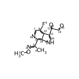 CO/N=C(\C)c1ncc(F)c2c(C(=O)C=O)c[nH]c12